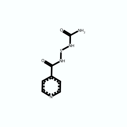 NC(=O)NSNC(=O)c1ccncc1